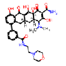 CN(C)C1C(O)=C(C(N)=O)C(=O)[C@@]2(O)C(O)=C3C(=O)c4c(O)ccc(-c5cccc(C(=O)NCCN6CCOCC6)c5)c4C[C@H]3C[C@@H]12